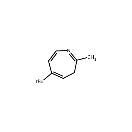 CC1=NC=CC(C(C)(C)C)=CC1